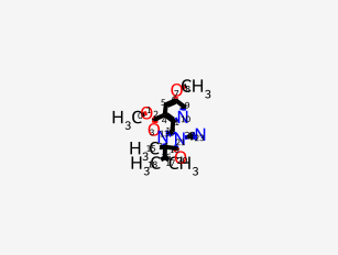 COC(=O)c1cc(OC)cnc1C1=NC(C)(C(C)C)C(=O)N1C#N